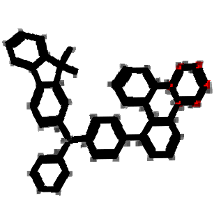 CC1(C)c2ccccc2-c2ccc(N(c3ccccc3)c3ccc(-c4cccc(-c5ccccc5)c4-c4ccccc4-c4ccccc4)cc3)cc21